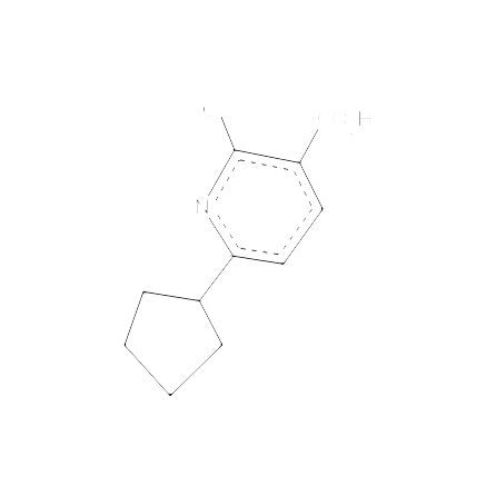 O=C(O)c1ccc(C2CCCC2)nc1Cl